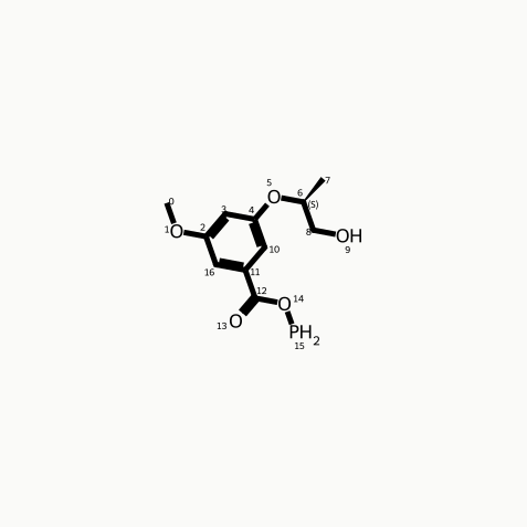 COc1cc(O[C@@H](C)CO)cc(C(=O)OP)c1